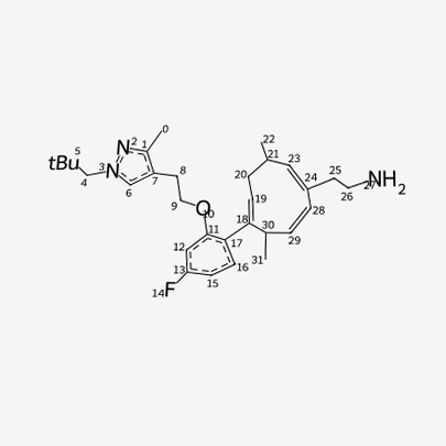 Cc1nn(CC(C)(C)C)cc1CCOc1cc(F)ccc1/C1=C\CC(C)/C=C(CCN)\C=C/C1C